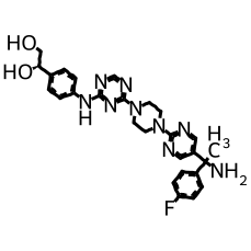 CC(N)(c1ccc(F)cc1)c1cnc(N2CCN(c3ncnc(Nc4ccc([C@@H](O)CO)cc4)n3)CC2)nc1